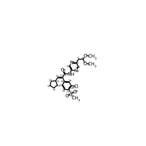 COC(Cc1cnc(NC(=O)/C(=C/C2CCCC2)c2ccc(S(C)(=O)=O)c(Cl)c2)cn1)OC